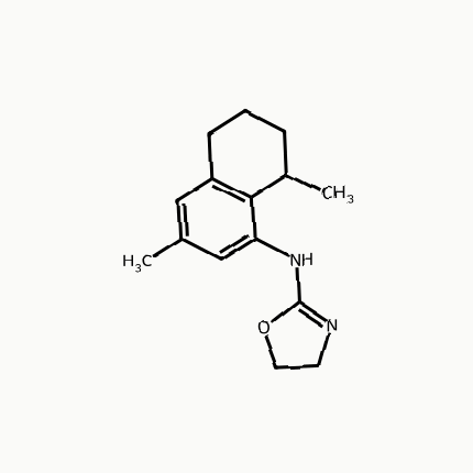 Cc1cc2c(c(NC3=NCCO3)c1)C(C)CCC2